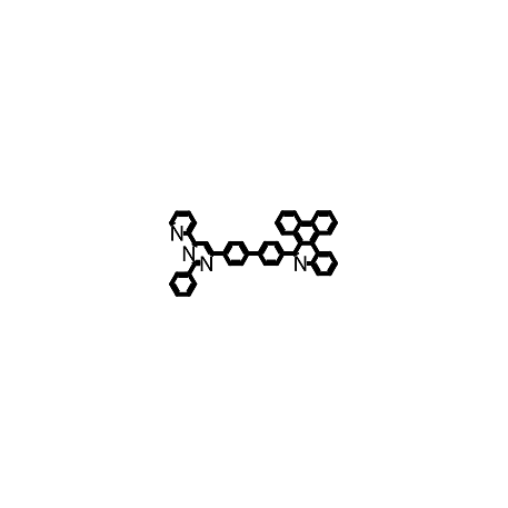 c1ccc(-c2nc(-c3ccc(-c4ccc(-c5nc6ccccc6c6c7ccccc7c7ccccc7c56)cc4)cc3)cc(-c3ccccn3)n2)cc1